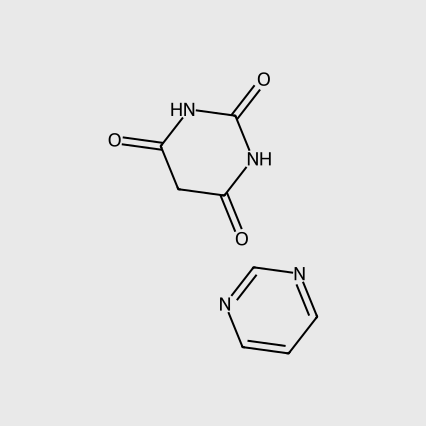 O=C1CC(=O)NC(=O)N1.c1cncnc1